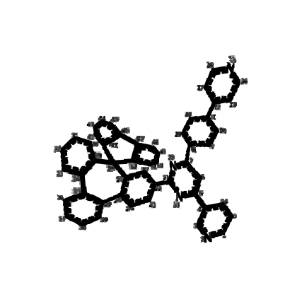 c1cncc(-c2cc(-c3ccc(-c4ccncc4)cc3)nc(-c3ccc4c(c3)C3(c5ccccc5-c5ccccc5-4)c4ccccc4-c4ccccc43)n2)c1